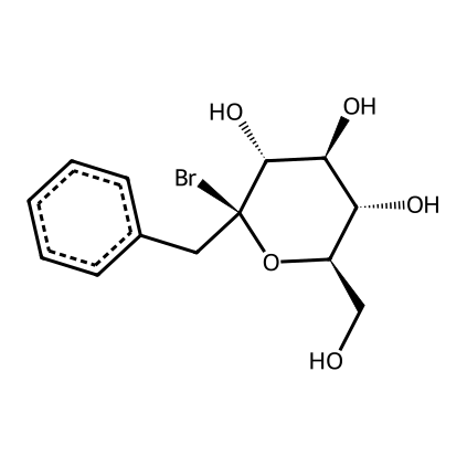 OC[C@H]1O[C@](Br)(Cc2ccccc2)[C@H](O)[C@@H](O)[C@@H]1O